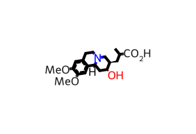 COc1cc2c(cc1OC)[C@H]1C[C@H](O)[C@H](CC(C)C(=O)O)CN1CC2